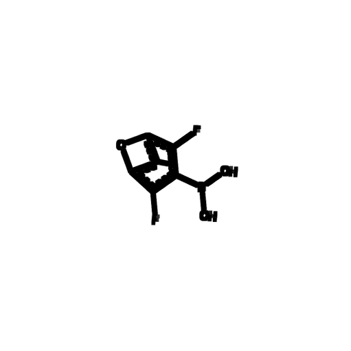 OB(O)c1c(F)c2c(F)c(c1F)O2